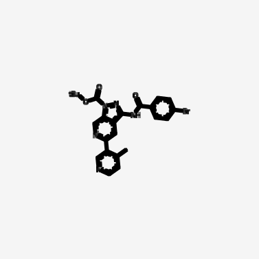 Cc1ccncc1-c1cc2c(NC(=O)c3ccc(Br)cc3)nn(C(=O)OC(C)(C)C)c2cn1